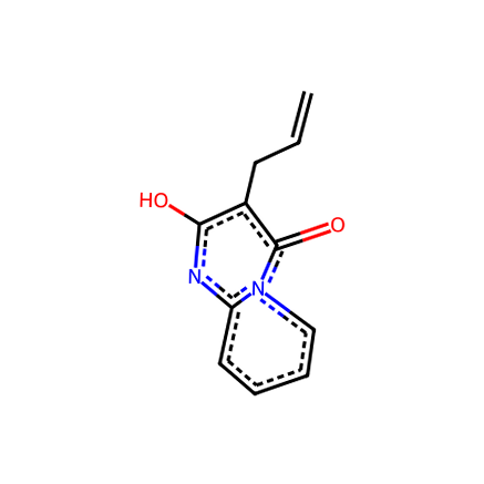 C=CCc1c(O)nc2ccccn2c1=O